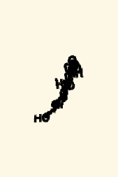 C=C1CC[C@H](OCCCNC(=O)CCOCCNC(=O)CCN2C(=O)C=CC2=O)C/C1=C/C=C1\CCC[C@]2(C)[C@@H]([C@H](C)CCCC(C)(C)O)CC[C@@H]12